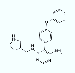 Nc1ncnc(NCC2CCNC2)c1-c1ccc(Oc2ccccc2)cc1